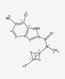 CN(C(=O)c1cc2ccc(C#N)c(Cl)c2[nH]1)C12CC(F)(C1)C2